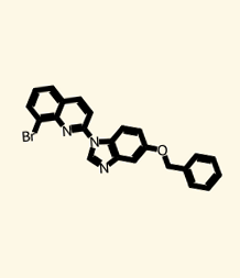 Brc1cccc2ccc(-n3cnc4cc(OCc5ccccc5)ccc43)nc12